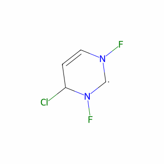 FN1[CH]N(F)C(Cl)C=C1